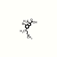 COCCN(C)c1cc(Br)c2c(c1)cc(C(=O)O)n2C